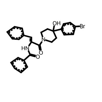 O=C(NC(=Cc1ccccc1)C(=O)N1CCC(O)(c2ccc(Br)cc2)CC1)c1ccccc1